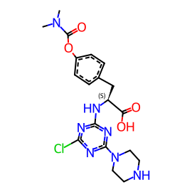 CN(C)C(=O)Oc1ccc(C[C@H](Nc2nc(Cl)nc(N3CCNCC3)n2)C(=O)O)cc1